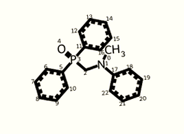 CN(CP(=O)(c1ccccc1)c1ccccc1)c1ccccc1